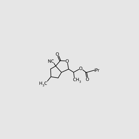 CC1CC2C(C(C)OC(=O)C(C)C)OC(=O)C2(C#N)C1